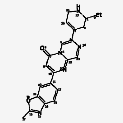 CCC1CC(c2cn3c(=O)cc(-c4ccc5nc(C)oc5c4)nc3cn2)=CCN1